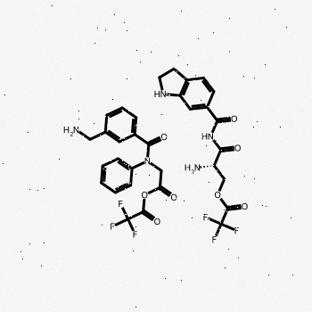 NCc1cccc(C(=O)N(CC(=O)OC(=O)C(F)(F)F)c2ccccc2)c1.N[C@@H](COC(=O)C(F)(F)F)C(=O)NC(=O)c1ccc2c(c1)NCC2